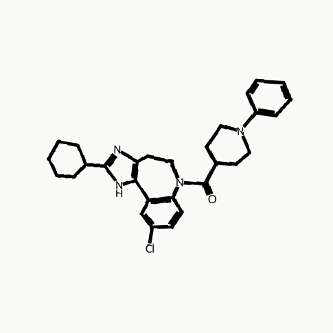 O=C(C1CCN(c2ccccc2)CC1)N1CCc2nc(C3CCCCC3)[nH]c2-c2cc(Cl)ccc21